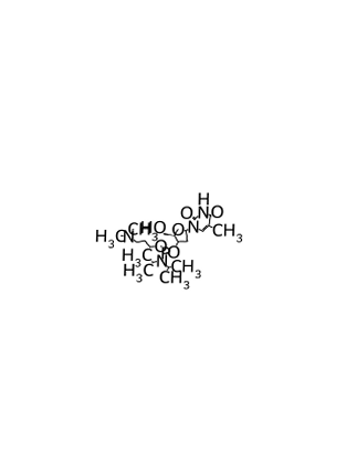 Cc1cn([C@H]2C[C@@H](OP(OCCCN(C)C)N(C(C)C)C(C)C)[C@@H](CO)O2)c(=O)[nH]c1=O